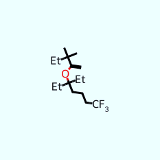 C=C(OC(CC)(CC)CCCC(F)(F)F)C(C)(C)CC